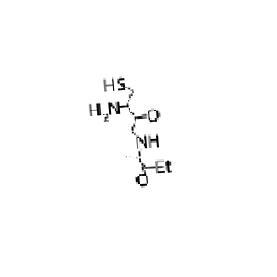 CCC(=O)[C@H](C)NCC(=O)[C@@H](N)CS